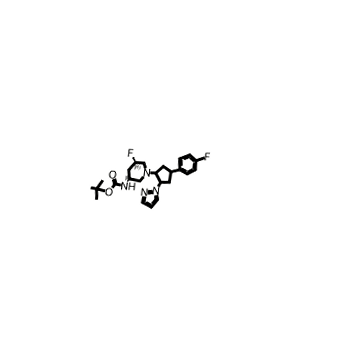 CC(C)(C)OC(=O)N[C@@H]1C[C@@H](F)CN(C2CC(c3ccc(F)cc3)CC2n2cccn2)C1